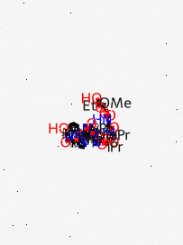 CCC(CO)OC(COC(=O)NCCC(=O)N[C@H](C(=O)OC(OC(=O)N(C)[C@H](C(=O)N[C@H](C(=O)N(C)[C@@H]([C@@H](C)CC)[C@@H](CC(=O)N1CCC[C@H]1[C@H](OC)[C@@H](C)C(=O)N[C@H](C)[C@@H](O)c1ccccc1)OC)C(C)C)C(C)C)C(C)C)C(C)C)OC